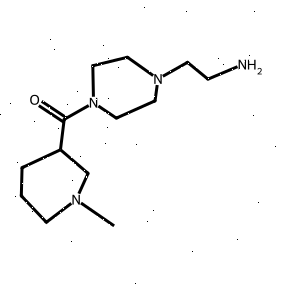 CN1CCCC(C(=O)N2CCN(CCN)CC2)C1